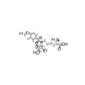 Cc1ccc(S(=O)(=O)NCCCC[C@H](N)C(=O)O)cc1.Cl.O=CCCl